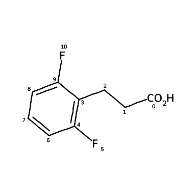 O=C(O)CCc1c(F)cccc1F